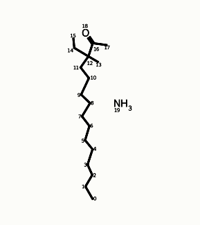 CCCCCCCCCCCCC(C)(CC)C(C)=O.N